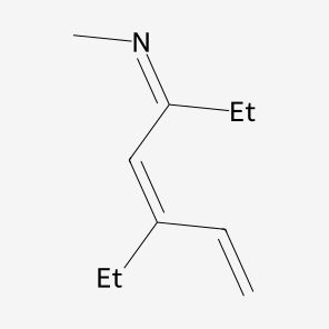 C=C/C(=C\C(CC)=N/C)CC